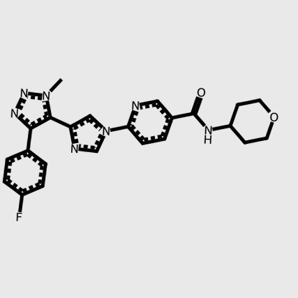 Cn1nnc(-c2ccc(F)cc2)c1-c1cn(-c2ccc(C(=O)NC3CCOCC3)cn2)cn1